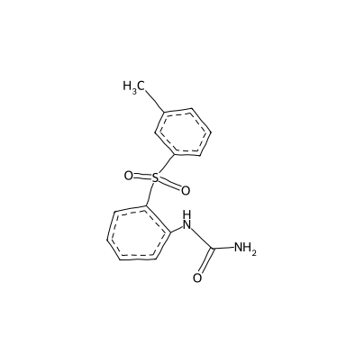 Cc1cccc(S(=O)(=O)c2ccccc2NC(N)=O)c1